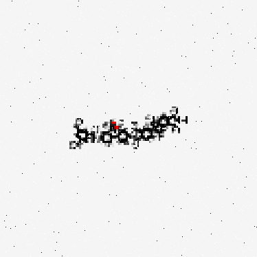 O=Cc1cc(C=O)cc(C(=O)Nc2ccc(-c3ccc(N4C(=O)c5ccc(C(c6ccc7c(c6)C(=O)NC7=O)(C(F)(F)F)C(F)(F)F)cc5C4=O)cc3C(F)(F)F)c(C(F)(F)F)c2)c1